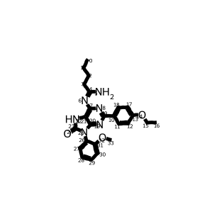 CCCCC(N)=Nc1nc(-c2ccc(OCC)cc2)nc2c1[nH]c(=O)n2-c1ccccc1OC